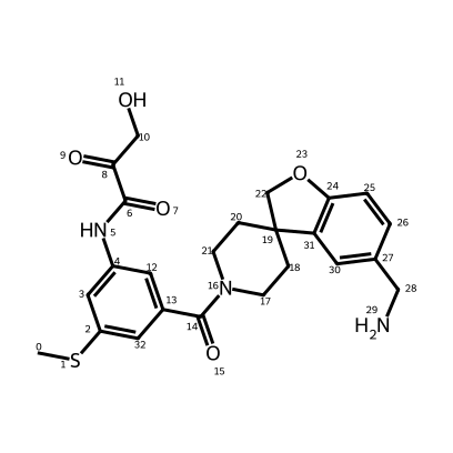 CSc1cc(NC(=O)C(=O)CO)cc(C(=O)N2CCC3(CC2)COc2ccc(CN)cc23)c1